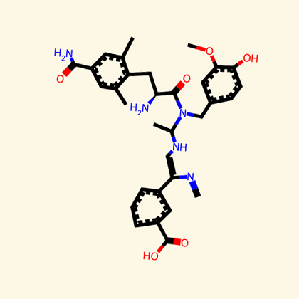 C=N/C(=C\NC(C)N(Cc1ccc(O)c(OC)c1)C(=O)[C@@H](N)Cc1c(C)cc(C(N)=O)cc1C)c1cccc(C(=O)O)c1